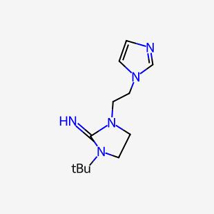 CC(C)(C)N1CCN(CCn2ccnc2)C1=N